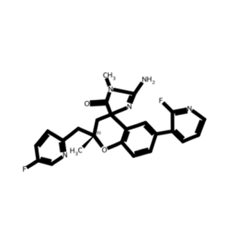 CN1C(=O)C2(C[C@@](C)(Cc3ccc(F)cn3)Oc3ccc(-c4cccnc4F)cc32)N=C1N